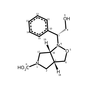 O=C(O)N1C[C@H]2CON([C@@H](CO)c3ccccc3)[C@H]2C1